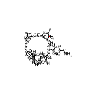 C=C1C[C@@H]2CC[C@@]34CC5O[C@H]6[C@@H](O3)[C@H]3O[C@H](CC[C@@H]3O[C@H]6[C@H]5O4)CC(=O)CC3[C@H](C[C@H]4OC(CC[C@@H]1O2)C[C@@H](C)C4=C)O[C@H](C[C@H](O)CN)[C@@H]3OC